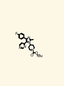 Cc1nc(-c2ccc(F)cc2)c(-c2ccncn2)n1C1CCN(C(=O)OC(C)(C)C)CC1